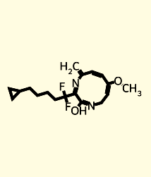 C=C1/C=C\C(OC)=C/C/N=C(O)\C(C(F)(F)CCCCC2CC2)=N/1